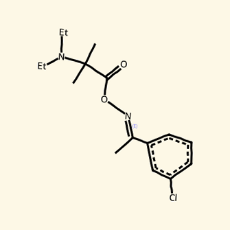 CCN(CC)C(C)(C)C(=O)O/N=C(\C)c1cccc(Cl)c1